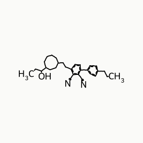 CCCc1ccc(-c2ccc(CCC3CCCCC(C(O)CC)CC3)c(C#N)c2C#N)cc1